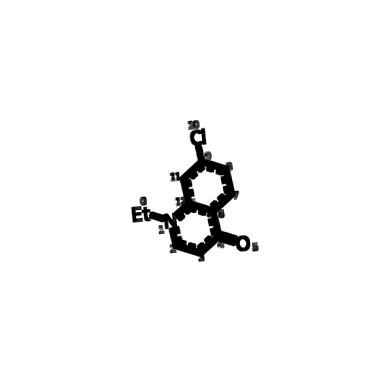 CCn1ccc(=O)c2ccc(Cl)cc21